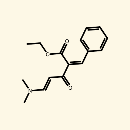 CCOC(=O)C(=Cc1ccccc1)C(=O)/C=C/N(C)C